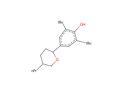 CCCC1CCC(c2cc(C(C)(C)C)c(O)c(C(C)(C)C)c2)OC1